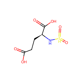 O=C(O)CC[C@H](N[SH](=O)=O)C(=O)O